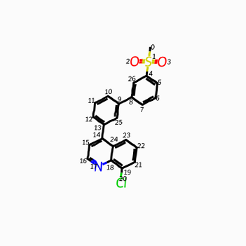 CS(=O)(=O)c1cccc(-c2cccc(-c3ccnc4c(Cl)cccc34)c2)c1